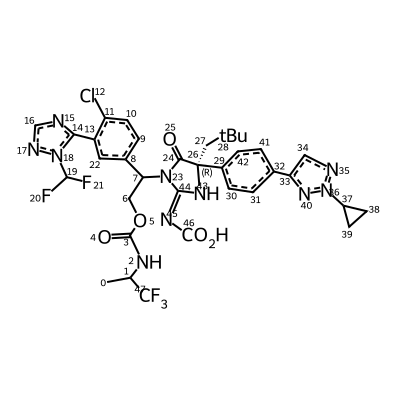 CC(NC(=O)OCC(c1ccc(Cl)c(-c2ncnn2C(F)F)c1)N1C(=O)[C@@](CC(C)(C)C)(c2ccc(-c3cnn(C4CC4)n3)cc2)NC1=NC(=O)O)C(F)(F)F